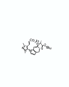 CCOC(=O)/C=C/c1c(C)nn(C)c1-n1ccc2ccc(OC(C)C(=O)OC(C)(C)C)cc21